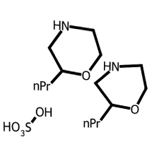 CCCC1CNCCO1.CCCC1CNCCO1.O=S(=O)(O)O